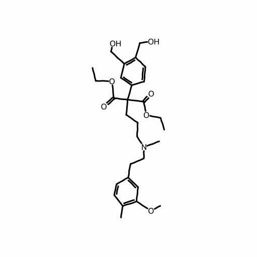 CCOC(=O)C(CCCN(C)CCc1ccc(C)c(OC)c1)(C(=O)OCC)c1ccc(CO)c(CO)c1